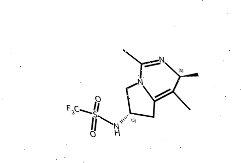 CC1=N[C@@H](C)C(C)=C2C[C@H](NS(=O)(=O)C(F)(F)F)CN12